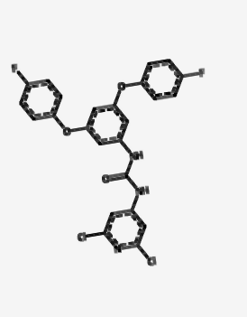 O=C(Nc1cc(Oc2ccc(F)cc2)cc(Oc2ccc(F)cc2)c1)Nc1cc(Cl)nc(Cl)c1